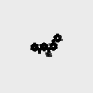 CC(c1cccc(C(=O)c2ccccc2)c1)N1CCCC(CN2CCOCC2)C1.Cl.Cl